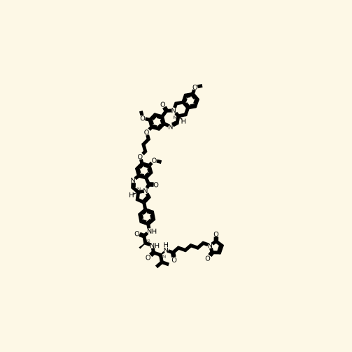 COc1ccc2c(c1)CN1C(=O)c3cc(OC)c(OCCCOc4cc5c(cc4OC)C(=O)N4C=C(c6ccc(NC(=O)[C@H](C)NC(=O)[C@@H](NC(=O)CCCCCN7C(=O)C=CC7=O)C(C)C)cc6)C[C@H]4C=N5)cc3N=C[C@@H]1C2